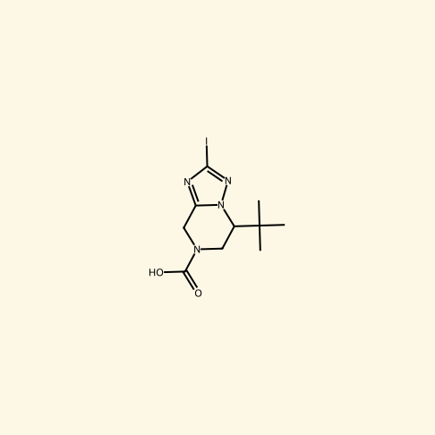 CC(C)(C)C1CN(C(=O)O)Cc2nc(I)nn21